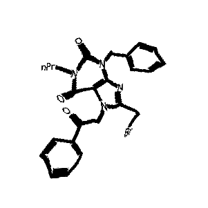 CCCn1c(=O)c2c(nc(CBr)n2CC(=O)c2ccccc2)n(Cc2ccccc2)c1=O